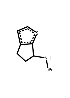 CC(C)NC1CCc2ccsc21